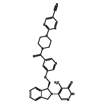 Cc1c(N2Cc3ccccc3[C@H]2COc2cncc(C(=O)N3CCN(c4ncc(C#N)cn4)CC3)c2)cn[nH]c1=O